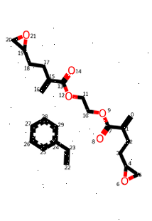 C=C(CCC1CO1)C(=O)OCCOC(=O)C(=C)CCC1CO1.C=Cc1ccccc1